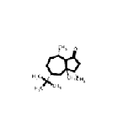 C[C@H]1CC[C@@H](C(C)(C)C)C[C@]2(C)C1C(=O)C[C@@H]2C